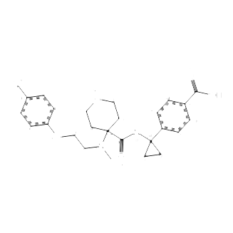 CN(CCOc1ccc(Cl)cc1)C1(C(=O)NC2(c3ccc(C(=O)O)cc3)CC2)CCOCC1